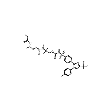 CCC(=O)OC(C)ON=[N+]([O-])N(C)C(C)(C)COC(=O)NS(=O)(=O)c1ccc(-n2nc(C(F)(F)F)cc2-c2ccc(C)cc2)cc1